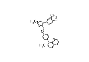 Cc1ccc2cccnc2c1-c1ccc(OCc2nn(C)cc2-c2ccc(=O)n(C)c2)cc1